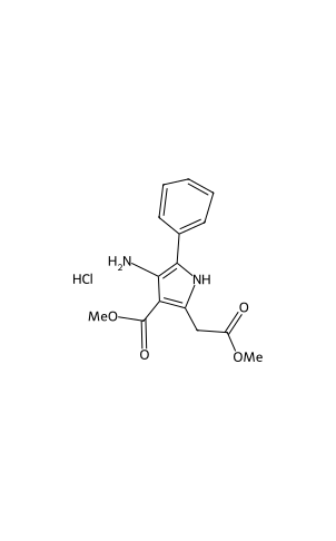 COC(=O)Cc1[nH]c(-c2ccccc2)c(N)c1C(=O)OC.Cl